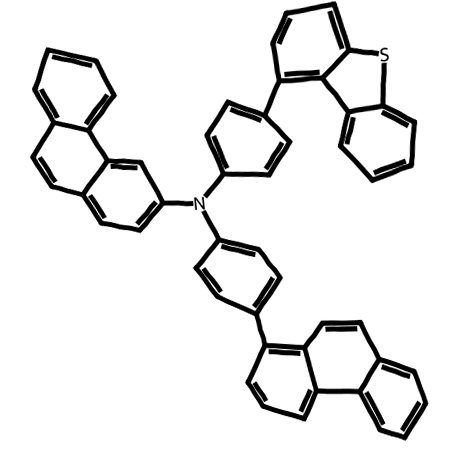 c1ccc2c(c1)ccc1ccc(N(c3ccc(-c4cccc5c4ccc4ccccc45)cc3)c3ccc(-c4cccc5sc6ccccc6c45)cc3)cc12